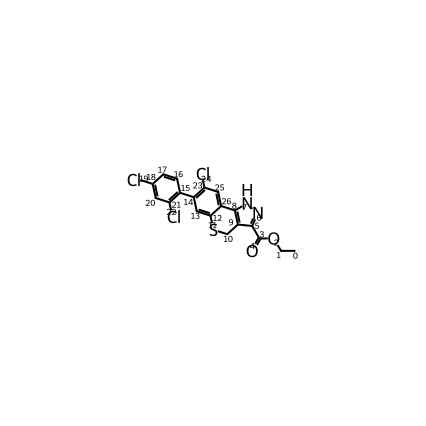 CCOC(=O)c1n[nH]c2c1CSc1cc(-c3ccc(Cl)cc3Cl)c(Cl)cc1-2